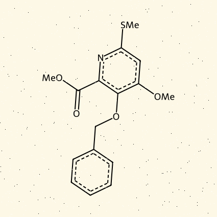 COC(=O)c1nc(SC)cc(OC)c1OCc1ccccc1